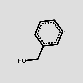 OCc1[c]cc[c]c1